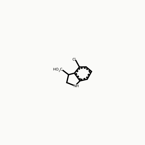 O=C(O)C1CNc2cccc(Cl)c21